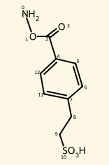 NOC(=O)c1ccc(CCS(=O)(=O)O)cc1